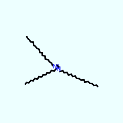 CCCCCCCCCCCCCCCCCCCn1cc[n+](CCCCCCCCCCCCCCCCCC)c1CCCCCCCCCCCCCCC